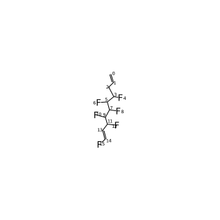 C=CCC(F)C(F)C(F)C(F)C(F)C=CF